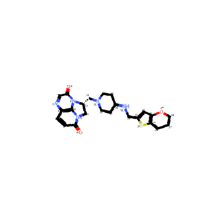 O=c1ccc2ncc(=O)n3c2n1C[C@H]3CN1CCC(NCc2cc3c(s2)CCCO3)CC1